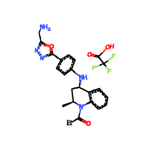 CCC(=O)N1c2ccccc2[C@H](Nc2ccc(-c3nnc(CN)o3)cc2)C[C@@H]1C.O=C(O)C(F)(F)F